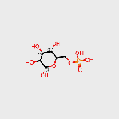 O=P(O)(O)OCC1O[C@H](O)C(O)[C@@H](O)[C@@H]1O